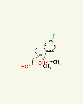 CC(C)[C@H]1c2ccc(F)cc2CC[C@]1(O)CCO